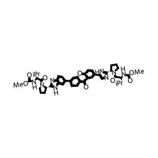 COC(=O)N[C@H](C(=O)N1CCC[C@H]1c1ncc(-c2ccc3oc4cc(-c5ccc6nc([C@@H]7CCCN7C(=O)[C@@H](NC(=O)OC)C(C)C)[nH]c6c5)ccc4c(=O)c3c2)[nH]1)C(C)C